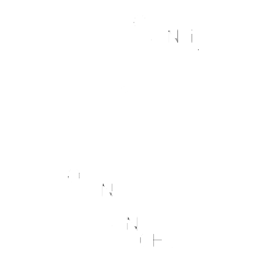 CN1CCN(C(=O)C2CCC(c3ccc(C(N)=O)cc3)CC2)CC1